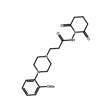 COc1ccccc1N1CCN(CCC(=O)NN2C(=O)CCCC2=O)CC1